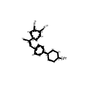 CCCC1CCC(c2ccc(C=C(C)c3ccc(F)c(F)c3)cc2)CC1